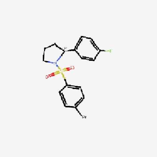 CC(C)c1ccc(S(=O)(=O)N2CCC[C@H]2c2ccc(F)cc2)cc1